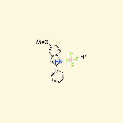 COc1ccc2[nH]c(-c3ccccc3)cc2c1.F[B-](F)(F)F.[H+]